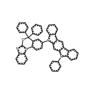 c1ccc(-n2c3ccccc3c3cc4c5ccccc5n(-c5ccc6c(c5)C(c5ccccc5)(c5ccccc5)Oc5nc7ccccc7n5-6)c4cc32)cc1